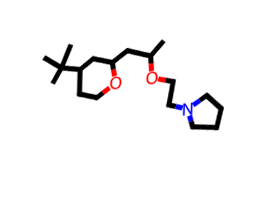 CC(CC1CC(C(C)(C)C)CCO1)OCCN1CCCC1